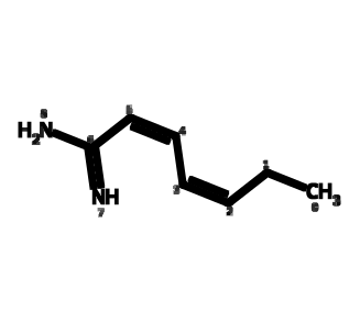 CC/C=C\C=C/C(=N)N